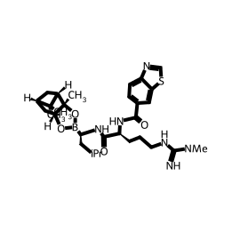 CNC(=N)NCCC[C@H](NC(=O)c1ccc2ncsc2c1)C(=O)N[C@@H](CC(C)C)B1O[C@@H]2C[C@@H]3C[C@@H](C3(C)C)[C@]2(C)O1